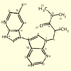 CC(Cn1cc(-c2c[nH]c3ncc(F)cc23)c2cncnc21)C(=O)N(C)C